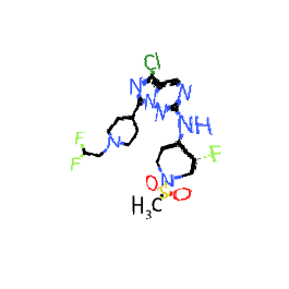 CS(=O)(=O)N1CC[C@@H](Nc2ncc3c(Cl)nc(C4CCN(CC(F)F)CC4)n3n2)[C@H](F)C1